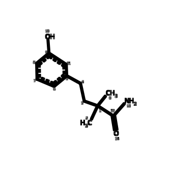 CC(C)(CCc1cccc(O)c1)C(N)=O